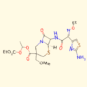 CCON=C(C(=O)NC1C(=O)N2CC(COC)(C(=O)OC(C)OC(=O)OCC)CS[C@H]12)c1csc(N)n1